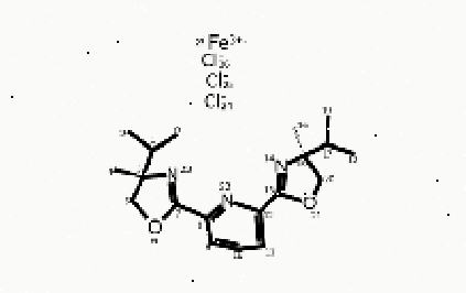 CC(C)[C@@]1(C)COC(c2cccc(C3=N[C@@](C)(C(C)C)CO3)n2)=N1.[Cl-].[Cl-].[Cl-].[Fe+3]